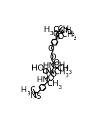 Cc1ncsc1-c1ccc([C@H](C)NC(=O)[C@H]2C[C@H](O)CN2C(=O)[C@@H](NC(=O)COCCOc2ccc(B3OC(C)(C)C(C)(C)O3)cc2)C(C)(C)C)cc1